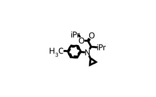 Cc1ccc(N(C2CC2)C(C(=O)OC(C)C)C(C)C)cc1